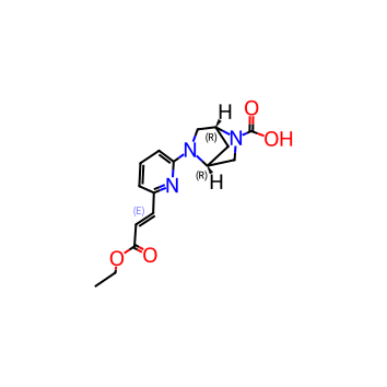 CCOC(=O)/C=C/c1cccc(N2C[C@H]3C[C@@H]2CN3C(=O)O)n1